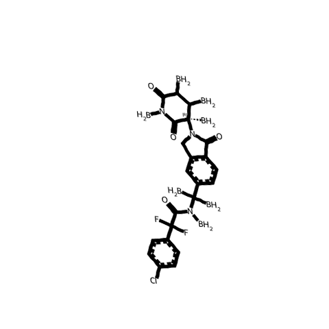 BC1C(=O)N(B)C(=O)[C@](B)(N2Cc3cc(C(B)(B)N(B)C(=O)C(F)(F)c4ccc(Cl)cc4)ccc3C2=O)C1B